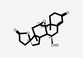 CC12C[C@H]3O[C@@]34C(C1CC[C@@]21CCC(=O)O1)[C@H](C=O)CC1=CC(=O)CCC14C